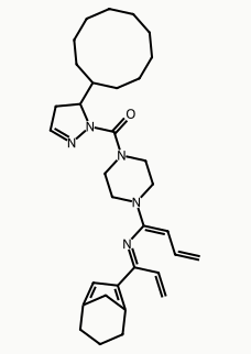 C=C/C=C(\N=C(/C=C)C1=C2CCCC(=C1)C2)N1CCN(C(=O)N2N=CCC2C2CCCCCCCCC2)CC1